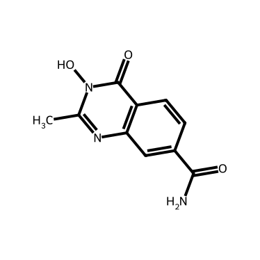 Cc1nc2cc(C(N)=O)ccc2c(=O)n1O